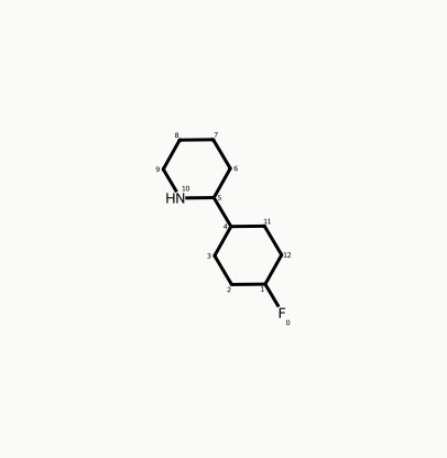 FC1CCC(C2CCCCN2)CC1